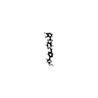 Cc1nc(-c2ccc(Cn3cc4nc(-c5cccc(F)c5F)nc-4cn3)cc2)cs1